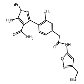 Cc1cc(CC(=O)Nc2cc(CC(C)(C)C)no2)ccc1-c1nn(C(C)C)c(N)c1C(N)=O